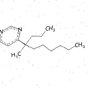 CCCCCCC(C)(CCC)c1ccncn1